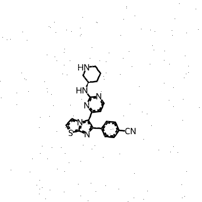 N#Cc1ccc(-c2nc3sccn3c2-c2ccnc(N[C@@H]3CCCNC3)n2)cc1